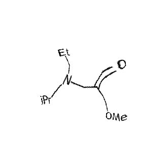 CCN(C(=O)OC)C(C)C